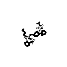 CCCCc1nn(-c2ccccc2C(F)(F)F)c(=O)n1Cc1ccc(-c2ccccc2S(=O)(=O)NC(=O)C(C)C)cc1